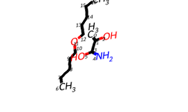 CC(O)C(N)O.CCCCCOCCCCC